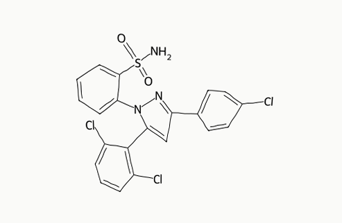 NS(=O)(=O)c1ccccc1-n1nc(-c2ccc(Cl)cc2)cc1-c1c(Cl)cccc1Cl